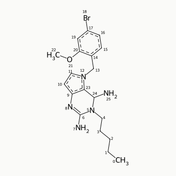 CCCCCN1C(N)=Nc2ccn(Cc3ccc(Br)cc3OC)c2C1N